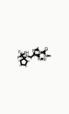 Cn1nnc2c(CNC3(C(F)(F)F)CCCC3)ncn2c1=O